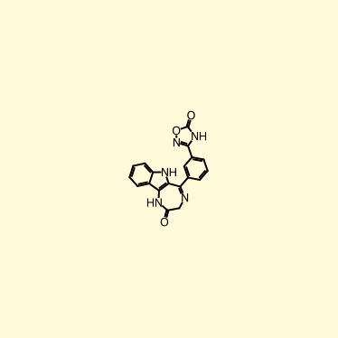 O=C1CN=C(c2cccc(-c3noc(=O)[nH]3)c2)c2[nH]c3ccccc3c2N1